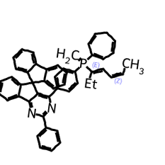 C=P(C1=CC=CCC=C1)(/C(=C/C=C\C)CC)c1ccc(-c2nc(-c3ccccc3)nc3c2C2(c4ccccc4-c4ccccc42)c2ccccc2-3)cc1